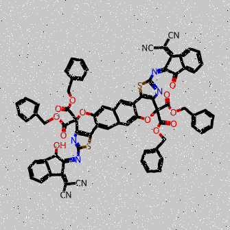 N#CC(C#N)=C1/C(=N/c2nc3c(s2)C2=CC4C=C5OC(C(=O)OCc6ccccc6)(C(=O)OCc6ccccc6)c6nc(/N=C7/C(=C(C#N)C#N)c8ccccc8C7O)sc6C5=CC4C=C2OC3(C(=O)OCc2ccccc2)C(=O)OCc2ccccc2)C(=O)c2ccccc21